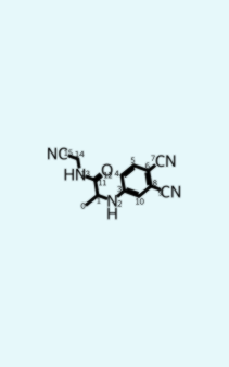 CC(Nc1ccc(C#N)c(C#N)c1)C(=O)NCC#N